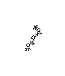 O=[N+]([O-])c1cccc(N/N=C/c2cccc(/C=N/Nc3cccc([N+](=O)[O-])c3)c2)c1